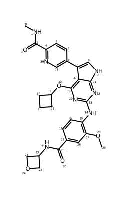 CNC(=O)c1ccc(-c2c[nH]c3nc(Nc4ccc(C(=O)NC5COC5)cc4OC)nc(OC4CCC4)c23)cn1